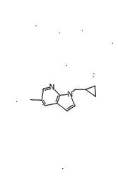 Cc1cnc2c(ccn2CC2CC2)c1